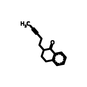 CC#CCCC1CCc2ccccc2C1=O